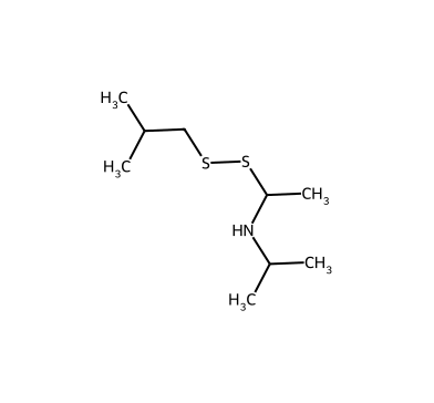 CC(C)CSSC(C)NC(C)C